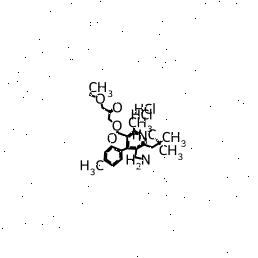 CCOCC(=O)COC(=O)c1c(C)nc(CC(C)(C)C)c(CN)c1-c1ccc(C)cc1.Cl.Cl